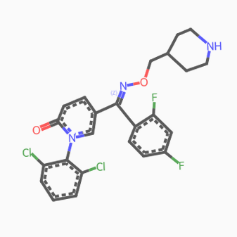 O=c1ccc(/C(=N/OCC2CCNCC2)c2ccc(F)cc2F)cn1-c1c(Cl)cccc1Cl